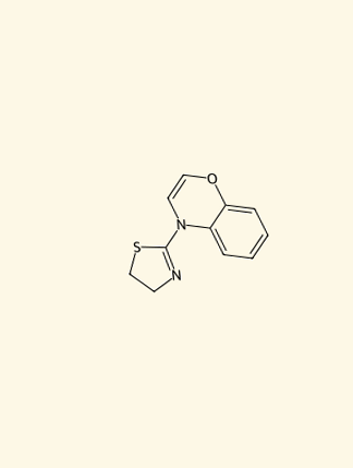 C1=CN(C2=NCCS2)c2ccccc2O1